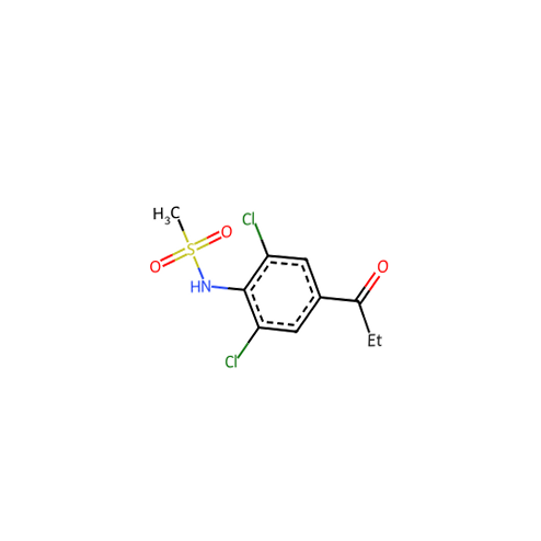 CCC(=O)c1cc(Cl)c(NS(C)(=O)=O)c(Cl)c1